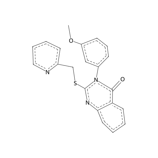 COc1cccc(-n2c(SCc3ccccn3)nc3ccccc3c2=O)c1